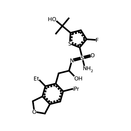 CCc1c2c(cc(C(C)C)c1CC(O)N=S(N)(=O)c1sc(C(C)(C)O)cc1F)COC2